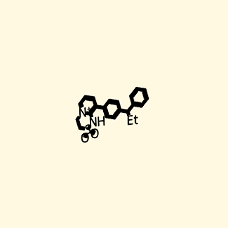 CCC(c1ccccc1)c1ccc(-c2ccc[n+]3c2NS(=O)(=O)CC3)cc1